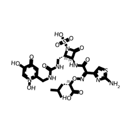 CC(C)C[C@H](ON=C(C(=O)N[C@@H]1C(=O)N(S(=O)(=O)O)[C@H]1CNC(=O)NCc1cc(=O)c(O)cn1O)c1csc(N)n1)C(=O)O